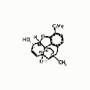 COc1ccc2c3c1O[C@H]1[C@@H](O)C=C[C@@]4(O)C(C2)N(C)CC[C@]314